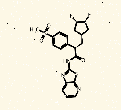 CS(=O)(=O)c1ccc([C@@H](C[C@H]2C[C@@H](F)[C@@H](F)C2)C(=O)Nc2nc3cccnc3s2)cc1